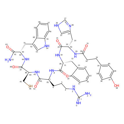 N=C(N)NCCC[C@H](NC(=O)[C@@H](Cc1ccccc1)NC(=O)[C@H](Cc1c[nH]cn1)NC(=O)CCc1ccc(O)cc1)C(=O)N[C@@H](CS)C(=O)N[C@@H](Cc1c[nH]c2ccccc12)C(N)=O